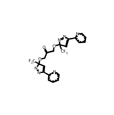 O=C(COC1(C(F)(F)F)C=C(c2ccccn2)N=N1)COC1(C(F)(F)F)C=C(c2ccccn2)N=N1